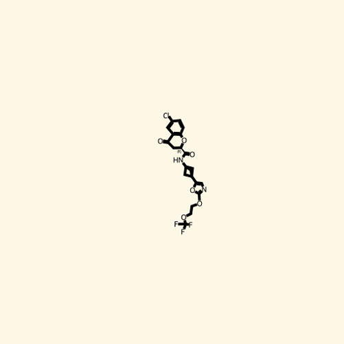 O=C1C[C@H](C(=O)NC23CC(c4cnc(OCCOC(F)(F)F)o4)(C2)C3)Oc2ccc(Cl)cc21